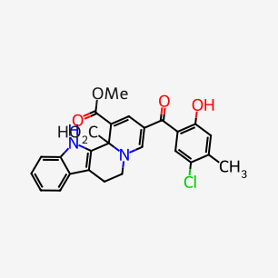 COC(=O)C1=CC(C(=O)c2cc(Cl)c(C)cc2O)=CN2CCc3c([nH]c4ccccc34)C12C(=O)O